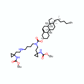 CC(C)CCC[C@@H](C)[C@H]1CC[C@H]2[C@@H]3CC=C4C[C@@H](OC(=O)N(CCCCNCCC5(NC(=O)OC(C)(C)C)CC5)CCC5(NC(=O)OC(C)(C)C)CC5)CC[C@]4(C)[C@H]3CC[C@]12C